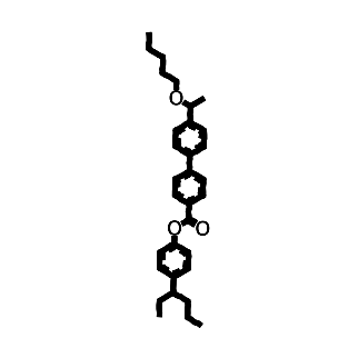 CCCCCOC(C)c1ccc(-c2ccc(C(=O)Oc3ccc(C(CC)CCC)cc3)cc2)cc1